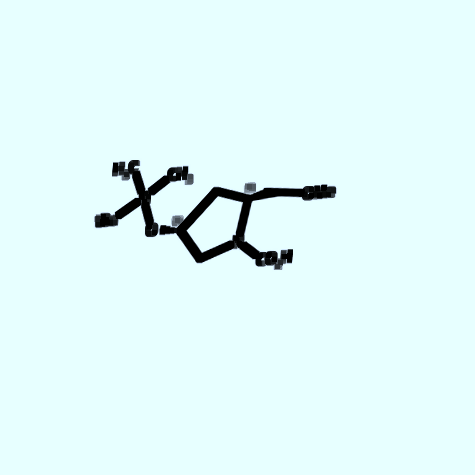 COC[C@@H]1C[C@@H](O[Si](C)(C)C(C)(C)C)CN1C(=O)O